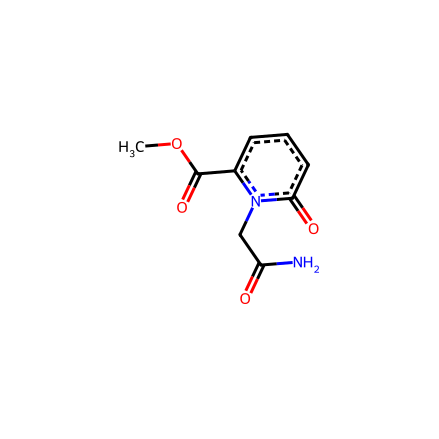 COC(=O)c1cccc(=O)n1CC(N)=O